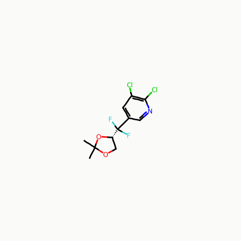 CC1(C)OC[C@@H](C(F)(F)c2cnc(Cl)c(Cl)c2)O1